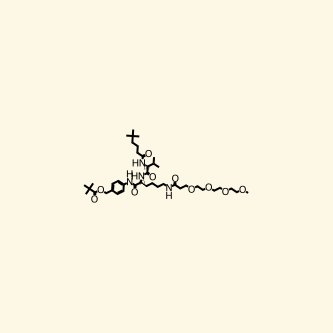 COCCOCCOCCOCCC(=O)NCCCC[C@H](NC(=O)[C@@H](NC(=O)CCCC(C)(C)C)C(C)C)C(=O)Nc1ccc(COC(=O)C(C)(C)C)cc1